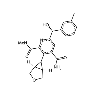 CNC(=O)c1nc([C@@H](O)c2cccc(C)c2)cc(C(N)=O)c1C1[C@H]2COC[C@@H]12